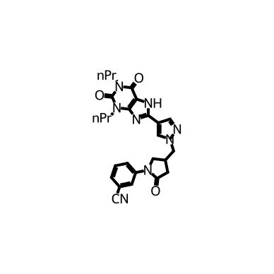 CCCn1c(=O)c2[nH]c(-c3cnn(CC4CC(=O)N(c5cccc(C#N)c5)C4)c3)nc2n(CCC)c1=O